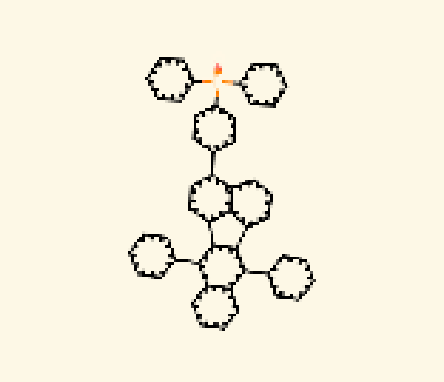 O=P(c1ccccc1)(c1ccccc1)c1ccc(-c2ccc3c4c(cccc24)-c2c-3c(-c3ccccc3)c3ccccc3c2-c2ccccc2)cc1